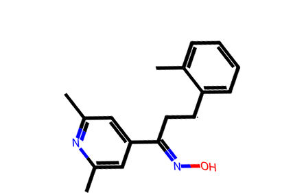 Cc1cc(/C(C[CH]c2ccccc2C)=N/O)cc(C)n1